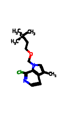 Cc1cn(COCC[Si](C)(C)C)c2c(Cl)nccc12